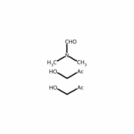 CC(=O)CO.CC(=O)CO.CN(C)C=O